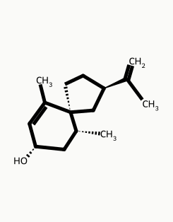 C=C(C)[C@@H]1CC[C@@]2(C1)C(C)=C[C@@H](O)C[C@H]2C